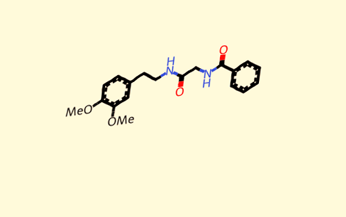 COc1ccc(CCNC(=O)CNC(=O)c2ccccc2)cc1OC